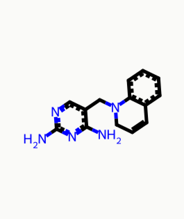 Nc1ncc(CN2CC=Cc3ccccc32)c(N)n1